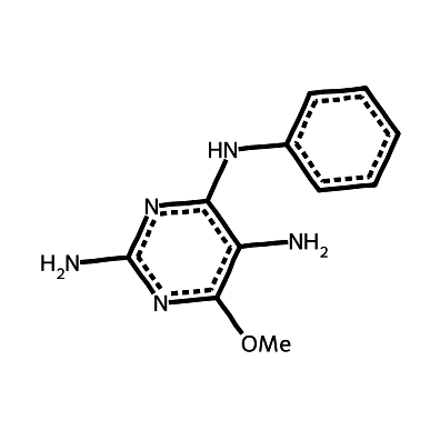 COc1nc(N)nc(Nc2ccccc2)c1N